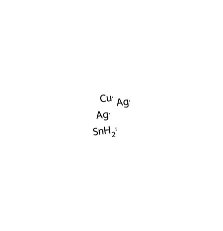 [Ag].[Ag].[Cu].[SnH2]